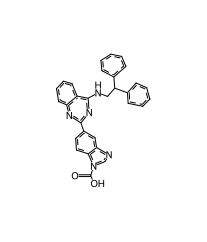 O=C(O)n1cnc2cc(-c3nc(NCC(c4ccccc4)c4ccccc4)c4ccccc4n3)ccc21